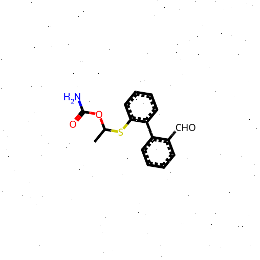 CC(OC(N)=O)Sc1ccccc1-c1ccccc1C=O